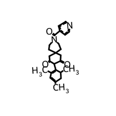 CC1=CC(C)=C(C2C(=O)CC3(CCN(C(=O)c4ccncc4)CC3)CC2=O)C(C)C1